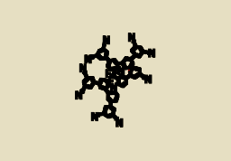 N#Cc1cc(C#N)cc(-c2ccc3c(c2)c2cc(-c4cc(C#N)cc(C#N)c4)ccc2n3-c2ccc(-c3cccc(C#N)c3)c(-n3c4ccc(-c5cc(C#N)cc(C#N)c5)cc4c4cc(-c5cc(C#N)cc(C#N)c5)ccc43)c2C(F)(F)F)c1